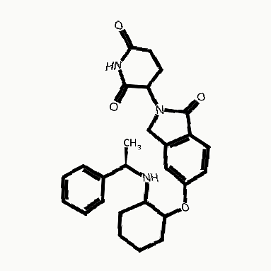 C[C@@H](NC1CCCCC1Oc1ccc2c(c1)CN(C1CCC(=O)NC1=O)C2=O)c1ccccc1